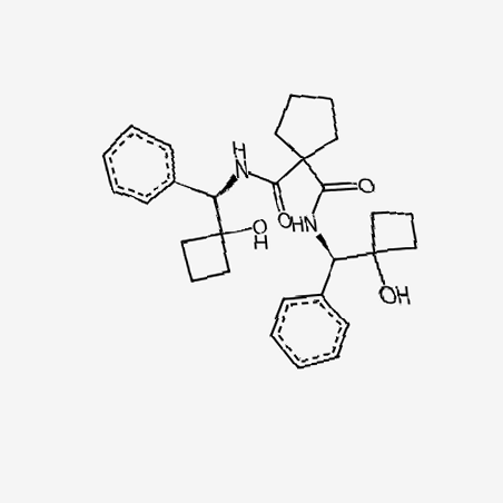 O=C(N[C@H](c1ccccc1)C1(O)CCC1)C1(C(=O)N[C@H](c2ccccc2)C2(O)CCC2)CCCC1